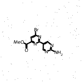 COC(=O)c1cc(Br)nc(-c2cnc(N)nc2)n1